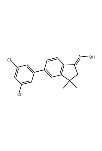 CC1(C)CC(=NO)c2ccc(-c3cc(Cl)cc(Cl)c3)cc21